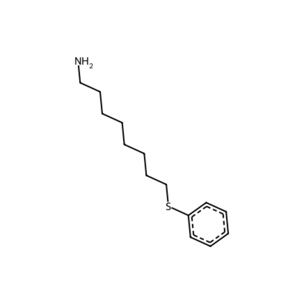 NCCCCCCCCSc1ccccc1